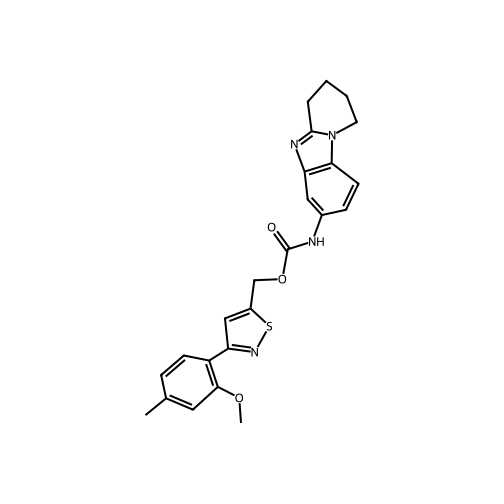 COc1cc(C)ccc1-c1cc(COC(=O)Nc2ccc3c(c2)nc2n3CCCC2)sn1